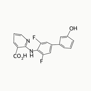 O=C(O)c1cccnc1Nc1c(F)cc(-c2cccc(O)c2)cc1F